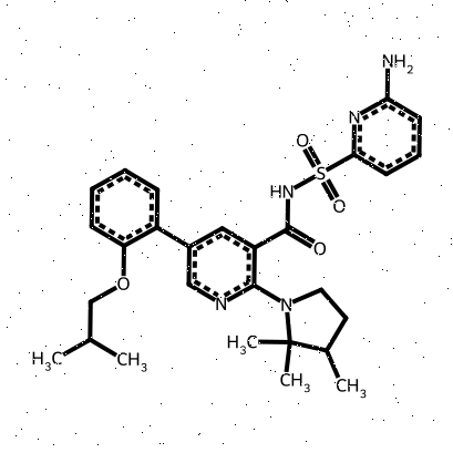 CC(C)COc1ccccc1-c1cnc(N2CCC(C)C2(C)C)c(C(=O)NS(=O)(=O)c2cccc(N)n2)c1